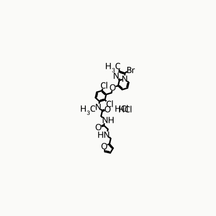 Cc1nc2c(OCc3c(Cl)ccc(N(C)C(=O)CNC(=O)CNCc4ccco4)c3Cl)cccn2c1Br.Cl.Cl